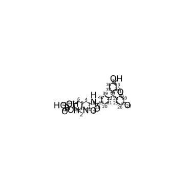 NC(=O)C(Cc1ccc(OP(=O)(O)O)cc1)NC(=O)c1ccc(-c2c3ccc(=O)cc-3oc3cc(O)ccc23)cc1